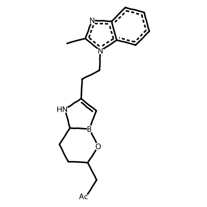 CC(=O)CC1CCC2NC(CCn3c(C)nc4ccccc43)=CB2O1